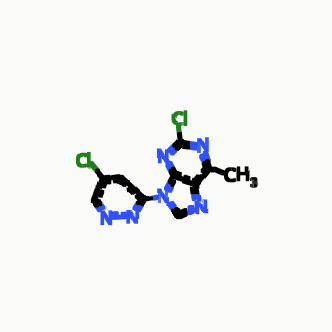 Cc1nc(Cl)nc2c1ncn2-c1cc(Cl)cnn1